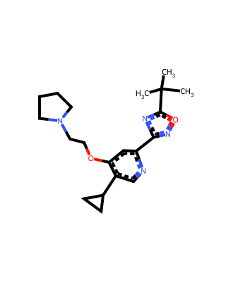 CC(C)(C)c1nc(-c2cc(OCCN3CCCC3)c(C3CC3)cn2)no1